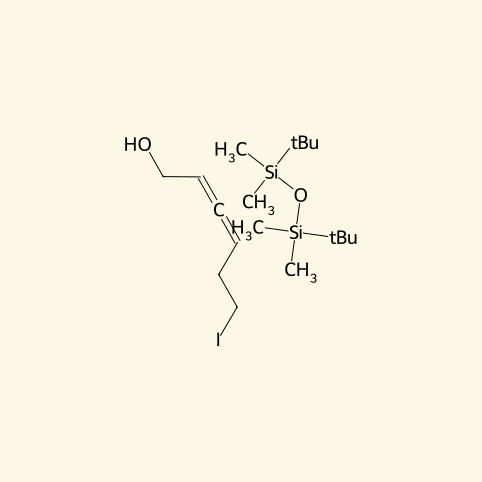 CC(C)(C)[Si](C)(C)O[Si](C)(C)C(C)(C)C.OCC=C=CCCI